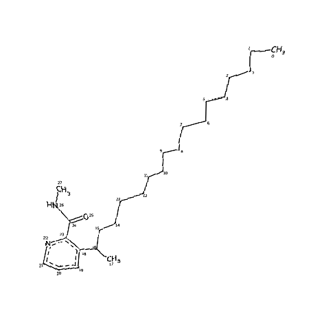 CCCCCCCCCCCCCCCCC(C)c1cccnc1C(=O)NC